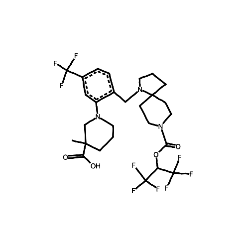 CC1(C(=O)O)CCCN(c2cc(C(F)(F)F)ccc2CN2CCCC23CCN(C(=O)OC(C(F)(F)F)C(F)(F)F)CC3)C1